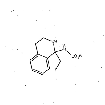 O=C(O)NC1(CI)NCCc2ccccc21